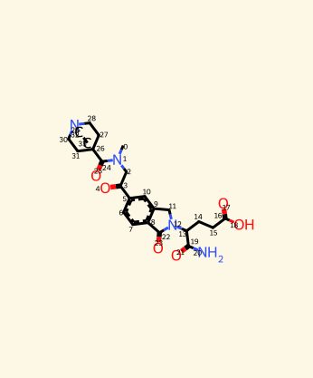 CN(CC(=O)c1ccc2c(c1)CN(C(CCC(=O)O)C(N)=O)C2=O)C(=O)C12CCN(CC1)CC2